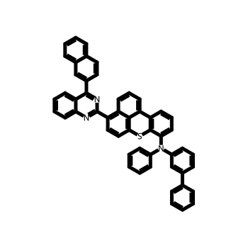 c1ccc(-c2cccc(N(c3ccccc3)c3cccc4c3Sc3ccc(-c5nc(-c6ccc7ccccc7c6)c6ccccc6n5)c5cccc-4c35)c2)cc1